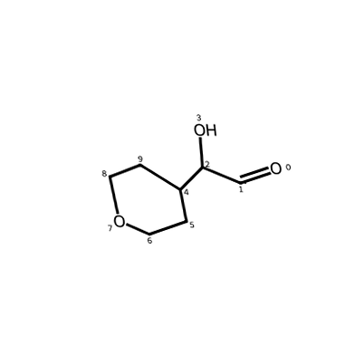 O=[C]C(O)C1CCOCC1